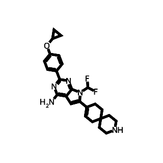 Nc1nc(-c2ccc(OC3CC3)cc2)nc2c1cc(C1=CCC3(CCNCC3)CC1)n2C(F)F